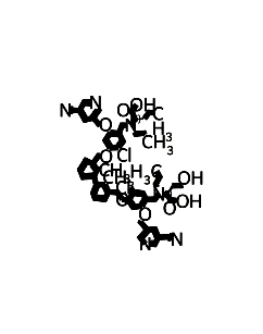 CCC[C@@H](C(=O)O)N(CCC)Cc1cc(Cl)c(OCc2cccc(-c3cccc(COc4cc(OCc5cncc(C#N)c5)c(CN(CCC)[C@@H](CCO)C(=O)O)cc4Cl)c3C)c2C)cc1OCc1cncc(C#N)c1